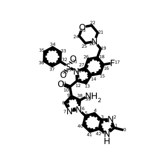 Cc1nc2cc(-n3ncc(C(=O)c4cc5cc(F)c(CN6CCOCC6)cc5n4S(=O)(=O)c4ccccc4)c3N)ccc2[nH]1